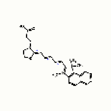 C[N+]1=C(/C=C/C=C/C=C2\SCCN2CCC(=O)O)C(C)(C)c2c1ccc1ccccc21